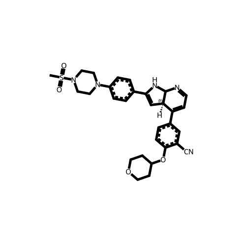 CS(=O)(=O)N1CCN(c2ccc(C3=C[C@@H]4C(c5ccc(OC6CCOCC6)c(C#N)c5)=CC=NC4N3)cc2)CC1